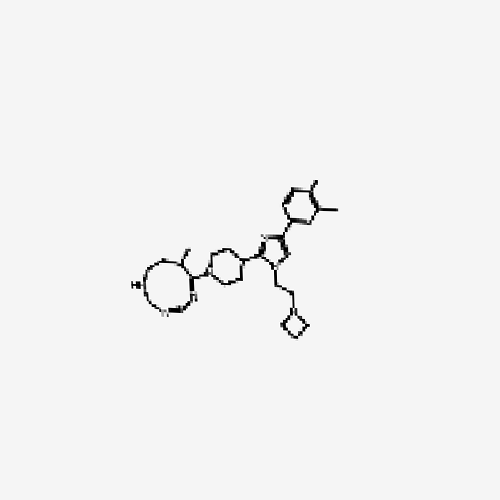 Cc1cc(-c2cn(CCN3CCC3)c(C3CCN(/C4=N/C=N\CNCCC4C)CC3)n2)ccc1F